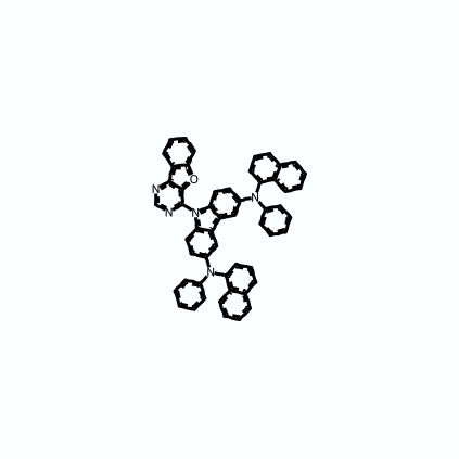 c1ccc(N(c2ccc3c(c2)c2cc(N(c4ccccc4)c4cccc5ccccc45)ccc2n3-c2ncnc3c2oc2ccccc23)c2cccc3ccccc23)cc1